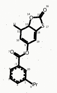 CC(C)c1cccc(C(=O)OC2=CC(C)C3OC(=O)SC3=C2)c1